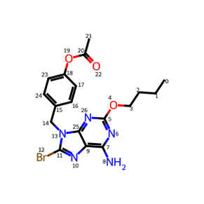 CCCCOc1nc(N)c2nc(Br)n(Cc3ccc(OC(C)=O)cc3)c2n1